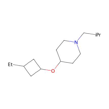 CCC1CC(OC2CCN(CC(C)C)CC2)C1